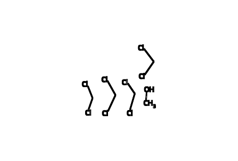 CO.ClCCl.ClCCl.ClCCl.ClCCl